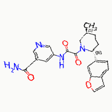 C[C@H]1CC[C@H](c2ccc3ccoc3c2)N(C(=O)C(=O)Nc2cncc(C(N)=O)c2)C1